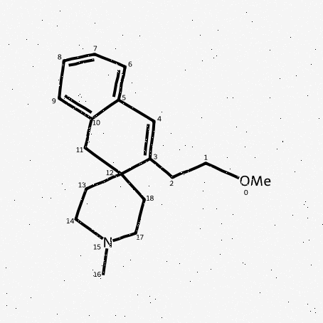 COCCC1=Cc2ccccc2CC12CCN(C)CC2